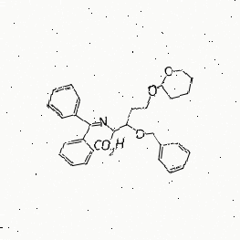 O=C(O)C(N=C(c1ccccc1)c1ccccc1)C(CCOC1CCCCO1)OCc1ccccc1